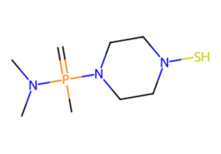 C=P(C)(N(C)C)N1CCN(S)CC1